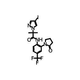 CC(C)(C(=O)Nc1ccc(C(F)(F)F)cc1N1CCCC1=O)n1cc(I)cn1